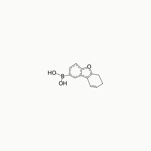 OB(O)c1ccc2oc3c(c2c1)C=CCC3